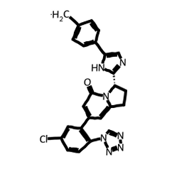 [CH2]c1ccc(-c2cnc([C@@H]3CCc4cc(-c5cc(Cl)ccc5-n5cnnn5)cc(=O)n43)[nH]2)cc1